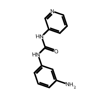 Nc1cccc(NC(=O)Nc2cccnc2)c1